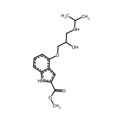 COC(=O)c1cc2c(OCC(O)CNC(C)C)cccc2[nH]1